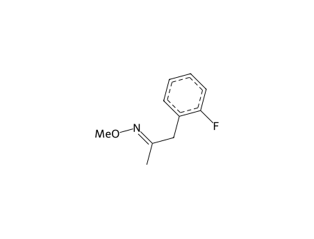 CON=C(C)Cc1ccccc1F